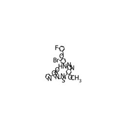 COc1cc2ncnc(Nc3ccc(OCc4cccc(F)c4)c(Br)c3)c2cc1-c1csc(CN(C=S(=O)=O)CCc2ccccn2)n1